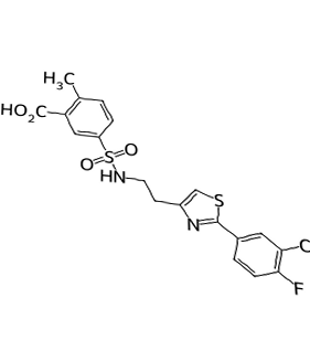 Cc1ccc(S(=O)(=O)NCCc2csc(-c3ccc(F)c(Cl)c3)n2)cc1C(=O)O